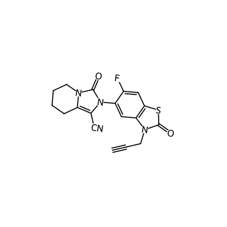 C#CCn1c(=O)sc2cc(F)c(-n3c(C#N)c4n(c3=O)CCCC4)cc21